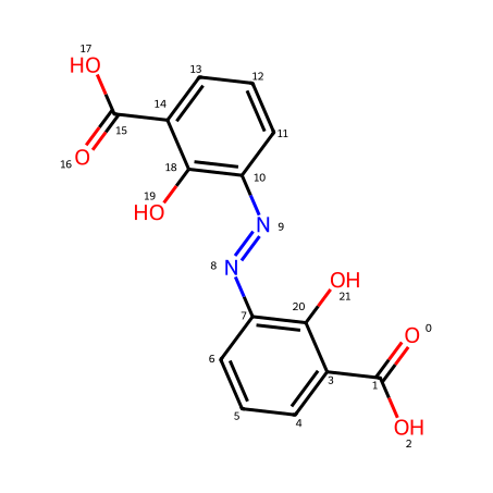 O=C(O)c1cccc(N=Nc2cccc(C(=O)O)c2O)c1O